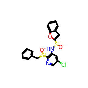 [O-][S+](Cc1ccccc1)c1ncc(Cl)cc1N[S+]([O-])c1cc2ccccc2o1